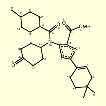 COC(=O)c1sc(C2=CCC(C)(C)CC2)cc1N(C(=O)C1CCC(C)CC1)C1CCC(=O)CC1